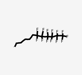 [CH2]CCCCCC(F)(F)C(F)(F)C(F)(F)C(F)(F)C(F)(F)C(F)(F)F